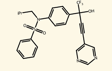 CC(C)CN(c1ccc(C(O)(C#Cc2cncnc2)C(F)(F)F)cc1)S(=O)(=O)c1ccccc1